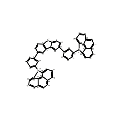 c1cc(-c2ccc3sc4ccc(-c5cccc(-n6c7cccc8ccc9cccc6c9c87)c5)cc4c3c2)cc(-n2c3cccc4ccc5cccc2c5c43)c1